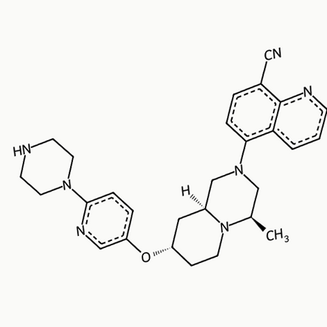 C[C@@H]1CN(c2ccc(C#N)c3ncccc23)C[C@@H]2C[C@@H](Oc3ccc(N4CCNCC4)nc3)CCN21